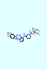 COc1ccc(CNc2nccc(N[C@@H]3CCCN(C(=O)OC(C)(C)C)C3)c2N)cc1